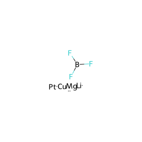 FB(F)F.[Cu].[Li].[Mg].[Pt]